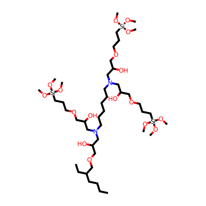 CCCCC(CC)COCC(O)CN(CCCCCCN(CC(O)COCCC[Si](OC)(OC)OC)CC(O)COCCC[Si](OC)(OC)OC)CC(O)COCCC[Si](OC)(OC)OC